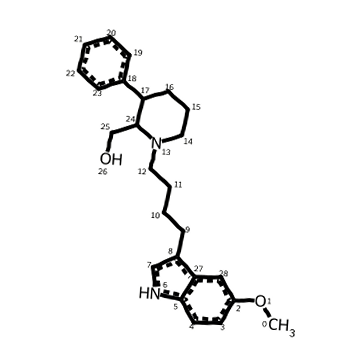 COc1ccc2[nH]cc(CCCCN3CCCC(c4ccccc4)C3CO)c2c1